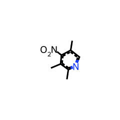 Cc1cnc(C)c(C)c1[N+](=O)[O-]